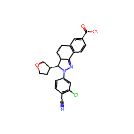 N#Cc1ccc(N2N=C3c4ccc(C(=O)O)cc4CCC3C2C2CCOC2)cc1Cl